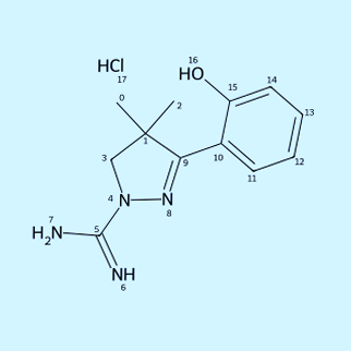 CC1(C)CN(C(=N)N)N=C1c1ccccc1O.Cl